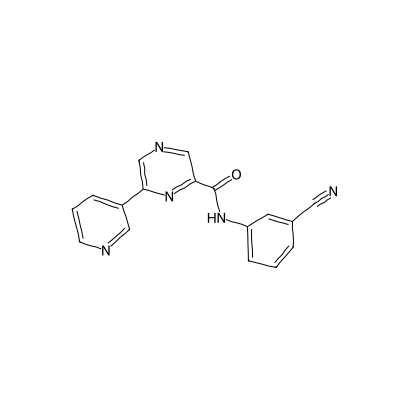 N#Cc1cccc(NC(=O)c2cncc(-c3cccnc3)n2)c1